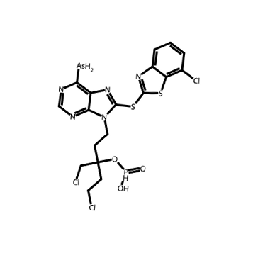 O=[PH](O)OC(CCl)(CCCl)CCn1c(Sc2nc3cccc(Cl)c3s2)nc2c([AsH2])ncnc21